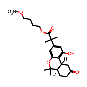 CC(C)(C(=O)OCCCCO[N+](=O)[O-])c1cc(O)c2c(c1)OC(C)(C)[C@@H]1CCC(=O)C[C@@H]21